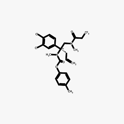 C=CC[C@@](CN(C)C(=O)CC(F)(F)F)(c1ccc(Cl)c(Cl)c1)N(C)C(=O)Oc1ccc(C)cc1